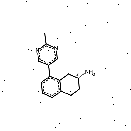 Cc1ncc(-c2cccc3c2C[C@H](N)CC3)cn1